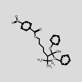 CC(C)(C)C(CCCCOC(=O)c1ccc([N+](=O)[O-])cc1)C(O)(Oc1ccccc1)Oc1ccccc1